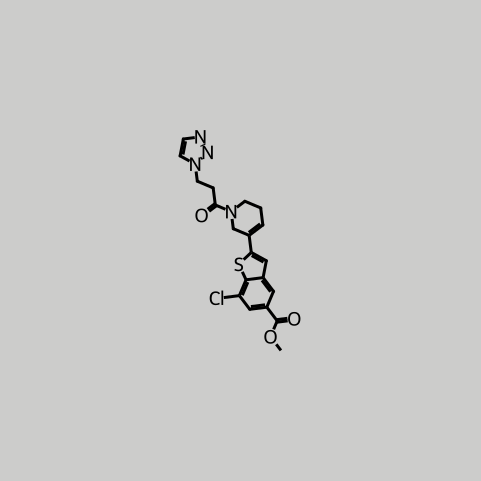 COC(=O)c1cc(Cl)c2sc(C3=CCCN(C(=O)CCn4ccnn4)C3)cc2c1